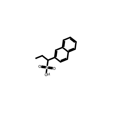 CCC(c1ccc2ccccc2c1)S(=O)(=O)O